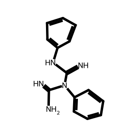 N=C(N)N(C(=N)Nc1ccccc1)c1ccccc1